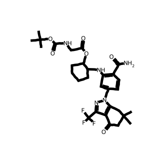 CC1(C)CC(=O)c2c(C(F)(F)F)nn(-c3ccc(C(N)=O)c(NC4CCCCC4OC(=O)CNC(=O)OC(C)(C)C)c3)c2C1